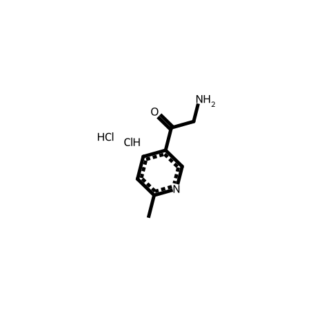 Cc1ccc(C(=O)CN)cn1.Cl.Cl